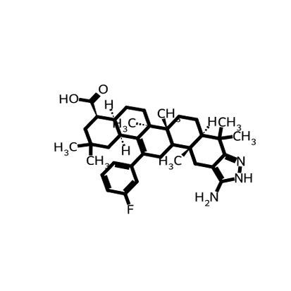 CC1(C)C[C@@H]2C3=C(c4cccc(F)c4)CC4[C@@]5(C)Cc6c(n[nH]c6N)C(C)(C)[C@@H]5CC[C@@]4(C)[C@]3(C)CC[C@@H]2[C@H](C(=O)O)C1